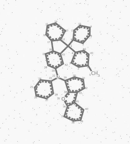 Cc1ccc(C2(c3ccccc3)c3ccccc3-c3ccc(N(c4ccccc4)c4cccc5c4oc4ccccc45)cc32)cc1